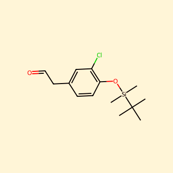 CC(C)(C)[Si](C)(C)Oc1ccc(CC=O)cc1Cl